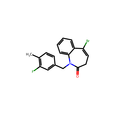 Cc1ccc(CN2C(=O)CC=C(Br)c3ccccc32)cc1F